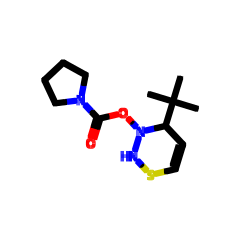 CC(C)(C)C1C=CSNN1OC(=O)N1CCCC1